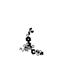 CCN(CC)CCOc1ccc(-c2cc(C(=O)NC3CCCN(OC(=O)OC(C)(C)C)C3)c(NC(N)=O)s2)cc1